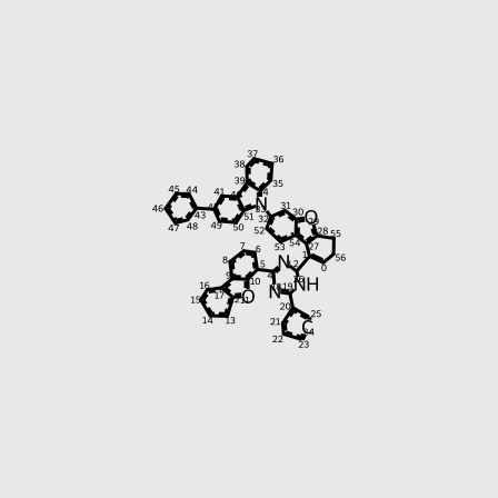 C1=C(C2N=C(c3cccc4c3oc3ccccc34)N=C(c3ccccc3)N2)c2c(oc3cc(-n4c5ccccc5c5cc(-c6ccccc6)ccc54)ccc23)CC1